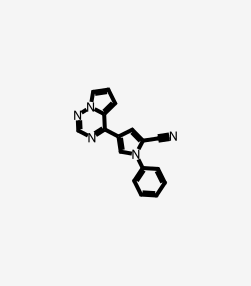 N#Cc1cc(-c2ncnn3cccc23)cn1-c1ccccc1